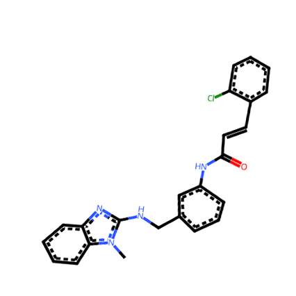 Cn1c(NCc2cccc(NC(=O)C=Cc3ccccc3Cl)c2)nc2ccccc21